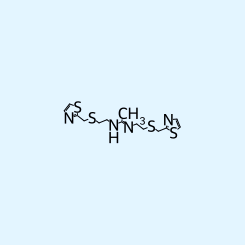 C/C(=N\CCSCc1nccs1)NCCSCc1nccs1